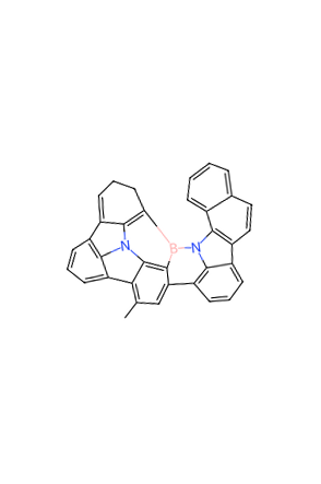 Cc1cc2c3c4c1c1cccc5c6c(n4c51)=C(CCC=6)B3n1c3c-2cccc3c2ccc3ccccc3c21